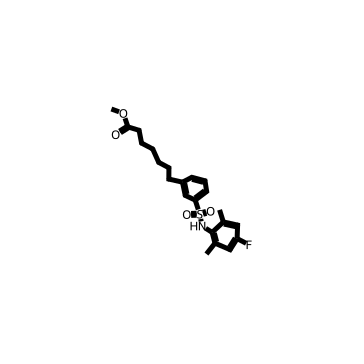 COC(=O)CCCCCCc1cccc(S(=O)(=O)Nc2c(C)cc(F)cc2C)c1